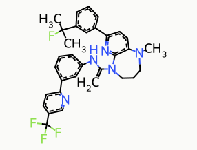 C=C(Nc1cccc(-c2ccc(C(F)(F)F)cn2)c1)N1CCCN(C)c2ccc(-c3cccc(C(C)(C)F)c3)nc21